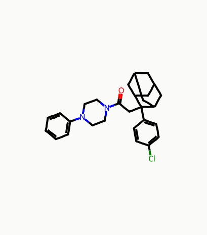 O=C(CC1(c2ccc(Cl)cc2)C2CC3CC(C2)CC1C3)N1CCN(c2ccccc2)CC1